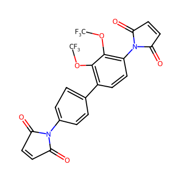 O=C1C=CC(=O)N1c1ccc(-c2ccc(N3C(=O)C=CC3=O)c(OC(F)(F)F)c2OC(F)(F)F)cc1